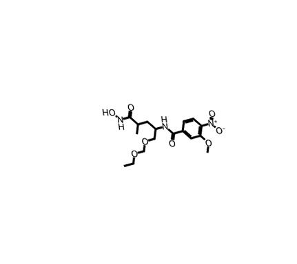 CCOCOCC(CC(C)C(=O)NO)NC(=O)c1ccc([N+](=O)[O-])c(OC)c1